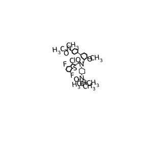 COc1ccc(-c2ccc(N(C)C(C)=O)cc2)cc1CN(C(=O)c1sc2c(F)ccc(F)c2c1Cl)C1CCC(N(CC(C)(C)C)C(=O)O)CC1